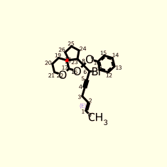 C/C=C/CC#CC(Br)C(Oc1ccccc1)(OC1CCCCO1)C1CCCC1